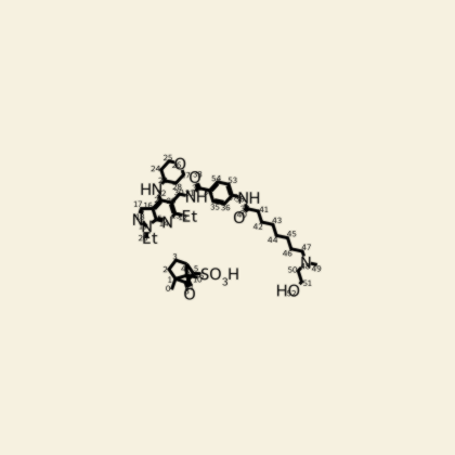 CC12CCC(C(S(=O)(=O)O)C1=O)C2(C)C.CCc1nc2c(cnn2CC)c(NC2CCOCC2)c1CNC(=O)c1ccc(NC(=O)CCCCCCCN(C)CCO)cc1